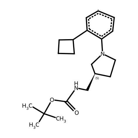 CC(C)(C)OC(=O)NC[C@@H]1CCN(c2cc[c]cc2C2CCC2)C1